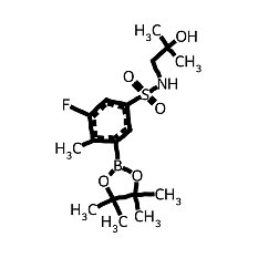 Cc1c(F)cc(S(=O)(=O)NCC(C)(C)O)cc1B1OC(C)(C)C(C)(C)O1